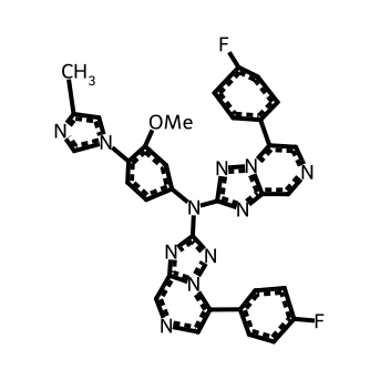 COc1cc(N(c2nc3cncc(-c4ccc(F)cc4)n3n2)c2nc3cncc(-c4ccc(F)cc4)n3n2)ccc1-n1cnc(C)c1